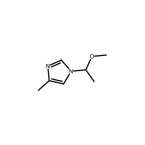 COC(C)n1[c]nc(C)c1